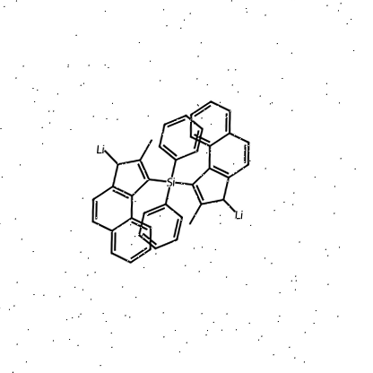 [Li][CH]1C(C)=C([Si](C2=C(C)[CH]([Li])c3ccc4ccccc4c32)(c2ccccc2)c2ccccc2)c2c1ccc1ccccc21